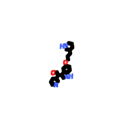 O=CC(c1cccnc1)C1CNc2ccc(OCCCC3CCCNC3)cc21